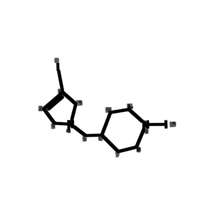 IC1=CCN(CC2CCN(I)CC2)C1